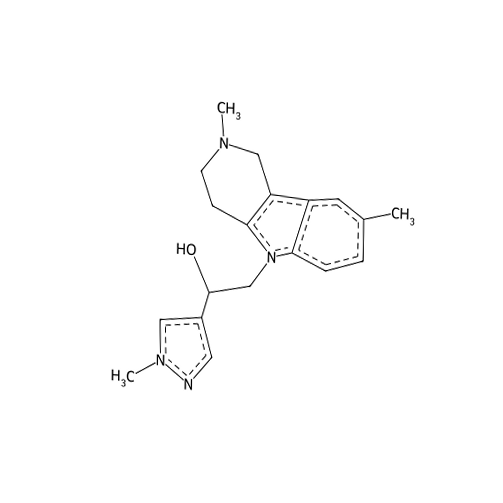 Cc1ccc2c(c1)c1c(n2CC(O)c2cnn(C)c2)CCN(C)C1